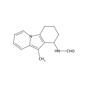 Cc1c2c(n3ccccc13)CCCC2NC=O